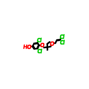 CCC(C)(COCC=C(Cl)Cl)COc1c(Cl)cc(O)cc1Cl